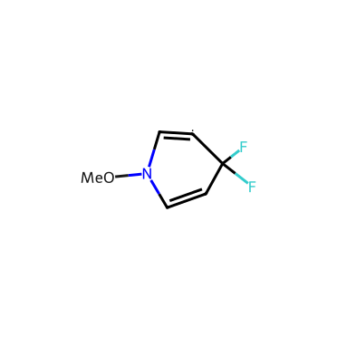 CON1C=[C]C(F)(F)C=C1